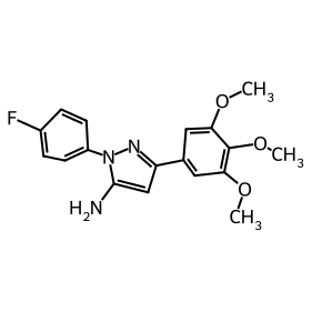 COc1cc(-c2cc(N)n(-c3ccc(F)cc3)n2)cc(OC)c1OC